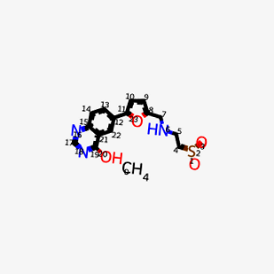 C.O=S(=O)=CCNCc1ccc(-c2ccc3ncnc(O)c3c2)o1